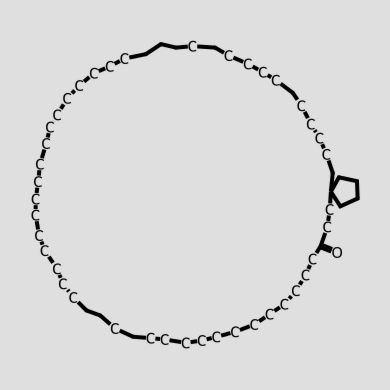 O=C1CCCCCCCCCCCCCCCCCCCCCCCCCCCCCCCCCCCCCCCCCCCCCCCCC2(CCCC2)CC1